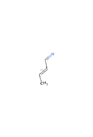 C/C=C/C=[N]